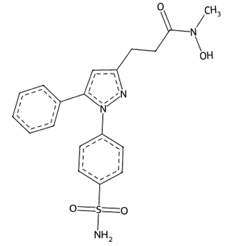 CN(O)C(=O)CCc1cc(-c2ccccc2)n(-c2ccc(S(N)(=O)=O)cc2)n1